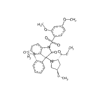 COC(=O)[C@@H]1C[C@@H](OC)CN1C1(c2ccccc2OC)C(=O)N(S(=O)(=O)c2ccc(OC)cc2OC)c2ccc(Cl)cc21